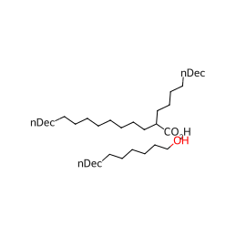 CCCCCCCCCCCCCCCCCCC(CCCCCCCCCCCCCC)C(=O)O.CCCCCCCCCCCCCCCCO